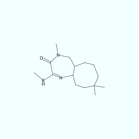 CBC1=NC2CCC(C)(C)CCCC2CN(C)C1=O